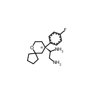 NCC(N)[C@]1(c2ccc(F)cc2)CCOC2(CCCC2)C1